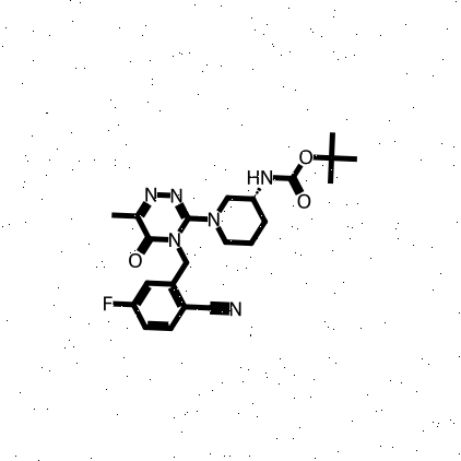 Cc1nnc(N2CCC[C@@H](NC(=O)OC(C)(C)C)C2)n(Cc2cc(F)ccc2C#N)c1=O